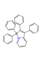 c1ccc(C2=C(c3ccccc3)[B-](c3ccccc3)(c3ccccc3)[n+]3ccccc32)cc1